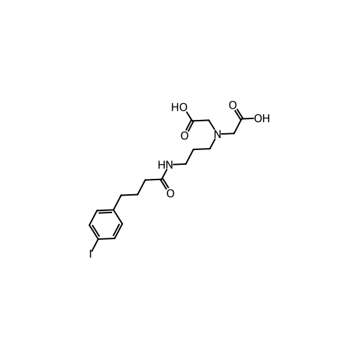 O=C(O)CN(CCCNC(=O)CCCc1ccc(I)cc1)CC(=O)O